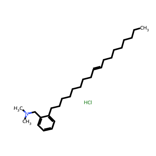 CCCCCCCCC=CCCCCCCCCc1ccccc1CN(C)C.Cl